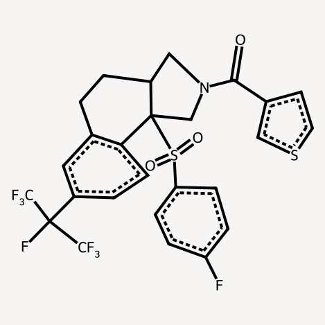 O=C(c1ccsc1)N1CC2CCc3cc(C(F)(C(F)(F)F)C(F)(F)F)ccc3C2(S(=O)(=O)c2ccc(F)cc2)C1